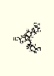 O=C(O)Cc1cn(Cc2csc3ccc(Cl)cc23)c2cc(N3CCCC(O)C3)ccc12